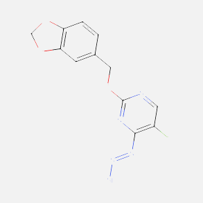 NN=Nc1nc(OCc2ccc3c(c2)OCO3)ncc1F